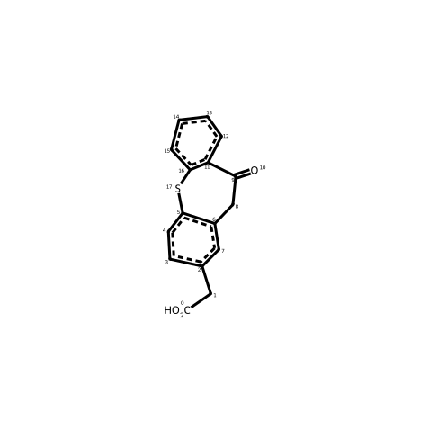 O=C(O)Cc1ccc2c(c1)CC(=O)c1ccccc1S2